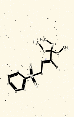 COC(OC)(OC)/C(F)=C/CS(=O)(=O)c1ccccc1